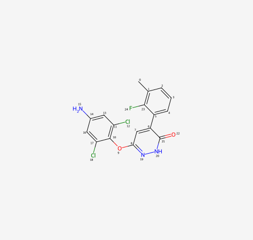 Cc1cccc(-c2cc(Oc3c(Cl)cc(N)cc3Cl)n[nH]c2=O)c1F